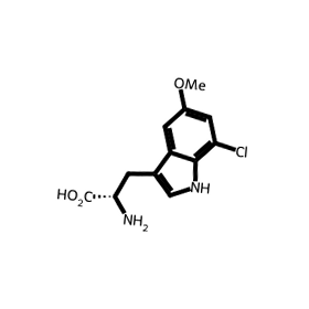 COc1cc(Cl)c2[nH]cc(C[C@H](N)C(=O)O)c2c1